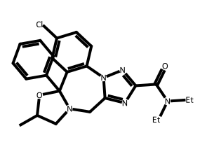 CCN(CC)C(=O)c1nc2n(n1)-c1ccc(Cl)cc1C1(c3ccccc3)OC(C)CN1C2